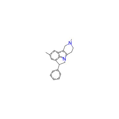 Cc1cc2c3c(c1)c1c(n3CC2c2ccccc2)CCN(C)C1